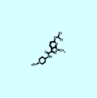 CCCN1CCC(NC(=O)c2nn(C)c3nc(OC(CC)CC)ccc23)CC1